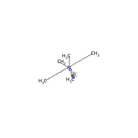 CCCCCCCCCCCCCCCCCCCCCCC(CCCCCCCCC)N(c1ccc(/C=C/c2cc[n+](CC)cc2Br)cc1)C(CCCCCCCCC)CCCCCCCCCCCCCCCCCCCCCC